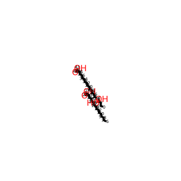 CCCC(O)O.CCCCCCCCCCCCCCCC(=O)O.CCCCCCCCCCCCCCCC(=O)O